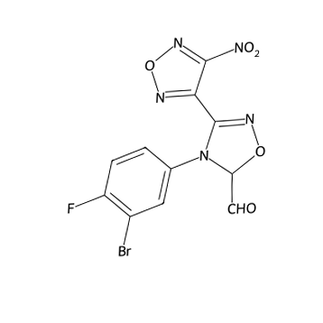 O=CC1ON=C(c2nonc2[N+](=O)[O-])N1c1ccc(F)c(Br)c1